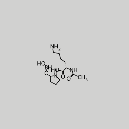 CC(=O)N[C@@H](CCCCN)C(=O)O.OBO[C@@H]1CCCN1